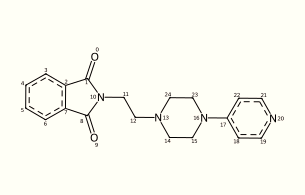 O=C1c2ccccc2C(=O)N1CCN1CCN(c2ccncc2)CC1